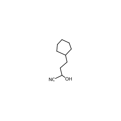 N#CC(O)CCC1CCCCC1